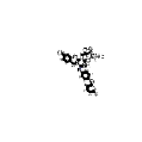 COC(=O)C(C)(C)Cn1c(=O)[nH]/c(=N\c2ccc(Oc3cccc(F)n3)cc2)n(Cc2ccc(Cl)cc2)c1=O